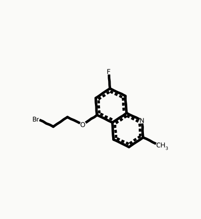 Cc1ccc2c(OCCBr)cc(F)cc2n1